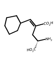 N[C@@H](CC(=CC1CCCCC1)C(=O)O)C(=O)O